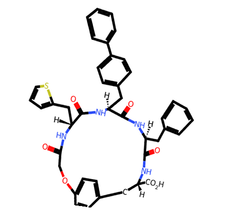 O=C1COc2ccc(cc2)C[C@@H](C(=O)O)NC(=O)[C@H](Cc2ccccc2)NC(=O)[C@H](Cc2ccc(-c3ccccc3)cc2)NC(=O)[C@@H](Cc2cccs2)N1